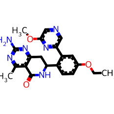 CCOc1ccc(C2Cc3nc(N)nc(C)c3C(=O)N2)c(-c2cncc(OC)n2)c1